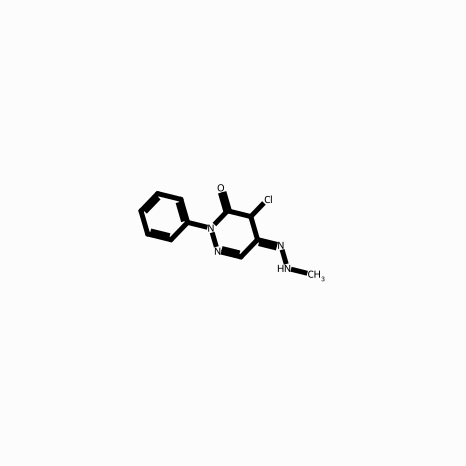 CN/N=C1\C=NN(c2ccccc2)C(=O)C1Cl